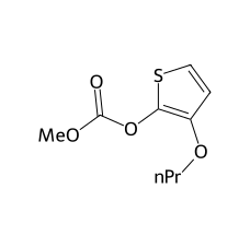 CCCOc1ccsc1OC(=O)OC